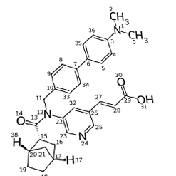 CN(C)c1ccc(-c2ccc(CN(C(=O)[C@@H]3C[C@@H]4CC[C@H]3C4)c3cncc(/C=C/C(=O)O)c3)cc2)cc1